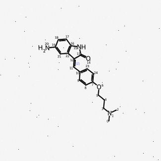 CN(C)CCCOc1ccc(/C=C2\C(=O)Nc3ccc(N)cc32)cc1